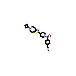 N#Cc1ccc(C(=O)N2CCC(c3nc4c(s3)CCN(C3=CC=C3)CC4)CC2)cc1